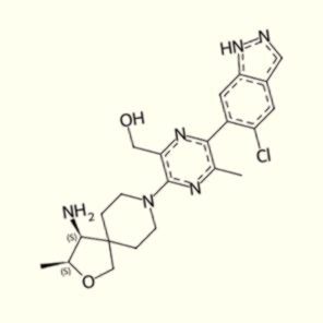 Cc1nc(N2CCC3(CC2)CO[C@@H](C)[C@H]3N)c(CO)nc1-c1cc2[nH]ncc2cc1Cl